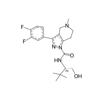 CN1CCc2c(c(-c3ccc(F)c(F)c3)nn2C(=O)N[C@H](CO)C(C)(C)C)C1